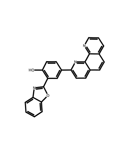 Oc1ccc(-c2ccc3ccc4cccnc4c3n2)cc1-c1nc2ccccc2o1